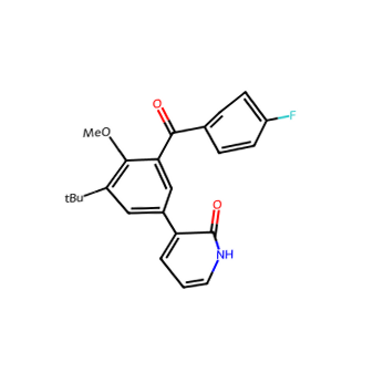 COc1c(C(=O)c2ccc(F)cc2)cc(-c2ccc[nH]c2=O)cc1C(C)(C)C